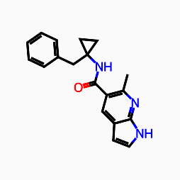 Cc1nc2[nH]ccc2cc1C(=O)NC1(Cc2ccccc2)CC1